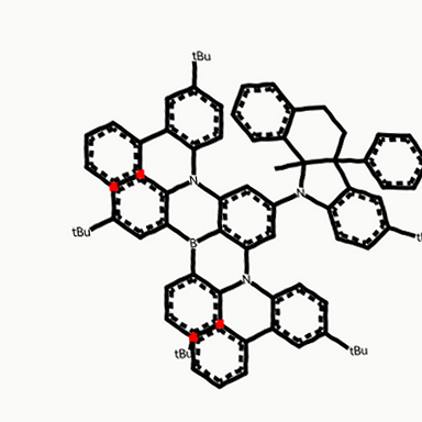 CC(C)(C)c1ccc2c(c1)B1c3ccc(C(C)(C)C)cc3N(c3ccc(C(C)(C)C)cc3-c3ccccc3)c3cc(N4c5ccc(C(C)(C)C)cc5C5(c6ccccc6)CCc6ccccc6C45C)cc(c31)N2c1ccc(C(C)(C)C)cc1-c1ccccc1